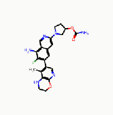 Cc1c(-c2cc3cc(N4CCC(OC(N)=O)C4)ncc3c(N)c2F)cnc2c1NCCO2